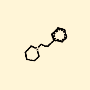 c1ccc(CCN2CCCCC2)cc1